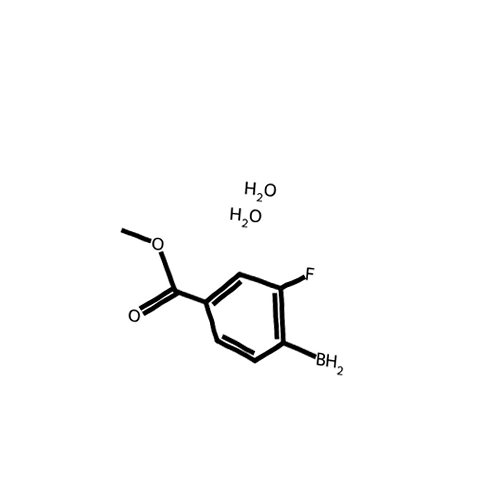 Bc1ccc(C(=O)OC)cc1F.O.O